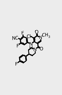 Cn1cc(C(=O)N2CCC(c3ccc(F)cc3)CC2)c(Nc2cc(F)c(C#N)c(F)c2)c(Cl)c1=O